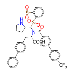 CS(=O)(=O)c1ccccc1S(=O)(=O)C([C@@H]1CCCN1)N(C(=O)c1ccc(-c2ccc(C(F)(F)F)cc2)cc1)[C@@H](Cc1ccc(-c2ccccc2)cc1)C(=O)O